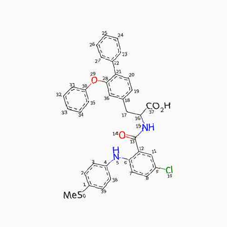 CSc1ccc(Nc2ccc(Cl)cc2C(=O)NC(Cc2ccc(-c3ccccc3)c(Oc3ccccc3)c2)C(=O)O)cc1